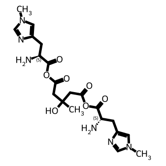 Cn1cnc(C[C@H](N)C(=O)OC(=O)CC(C)(O)CC(=O)OC(=O)[C@@H](N)Cc2cn(C)cn2)c1